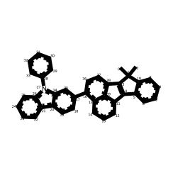 CC1(C)C2=C(c3ccccc31)c1cccc3c(-c4ccc5c6ccccc6n(-c6ccccc6)c5c4)ccc2c13